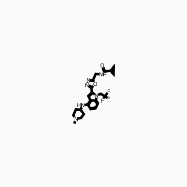 CN1CCC(Nc2cccc3c2cc(-c2nnc(CNC(=O)C4CC4)o2)n3CC(F)(F)F)CC1